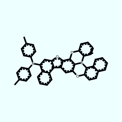 Cc1ccc(N(c2ccc(C)cc2)c2cc3oc4c5c6c(cc4c3c3ccccc23)Oc2ccc3ccccc3c2B6c2c(ccc3ccccc23)O5)cc1